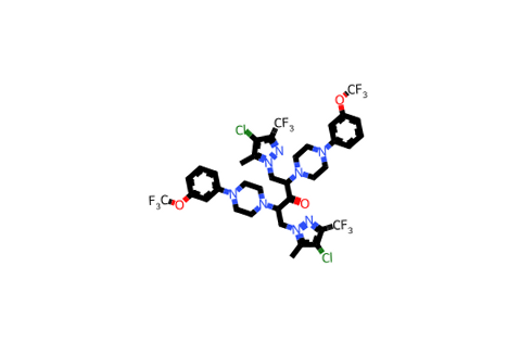 Cc1c(Cl)c(C(F)(F)F)nn1CC(C(=O)C(Cn1nc(C(F)(F)F)c(Cl)c1C)N1CCN(c2cccc(OC(F)(F)F)c2)CC1)N1CCN(c2cccc(OC(F)(F)F)c2)CC1